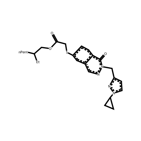 CCCCCC(CC)COC(=O)CSc1ccc2c(=O)n(Cc3ccn(C4CC4)n3)ncc2c1